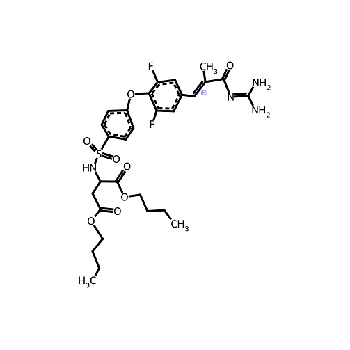 CCCCOC(=O)CC(NS(=O)(=O)c1ccc(Oc2c(F)cc(/C=C(\C)C(=O)N=C(N)N)cc2F)cc1)C(=O)OCCCC